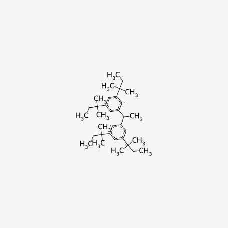 CCC(C)(C)c1[c]c(C(C)c2[c]c(C(C)(C)CC)cc(C(C)(C)CC)c2)cc(C(C)(C)CC)c1